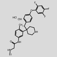 CCNCC(=O)Nc1ccc(C)c(C2(Cc3ccc(Oc4cc(F)c(F)cc4F)cc3)CCNCC2)c1.Cl.Cl